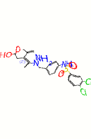 C=C(C)/C(CC(=O)O)=C(/C)N(N)Cc1ccc(NS(=O)(=O)c2ccc(Cl)c(Cl)c2)cc1